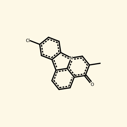 Cc1cn2c3ccc(Cl)cc3c3cccc(c1=O)c32